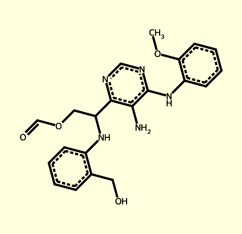 COc1ccccc1Nc1ncnc(C(COC=O)Nc2ccccc2CO)c1N